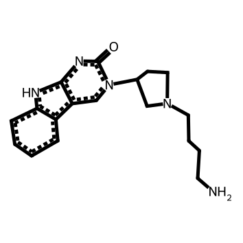 NCCCCN1CCC(n2cc3c(nc2=O)[nH]c2ccccc23)C1